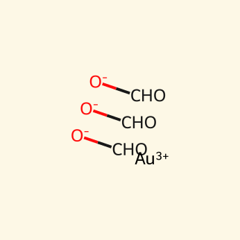 O=C[O-].O=C[O-].O=C[O-].[Au+3]